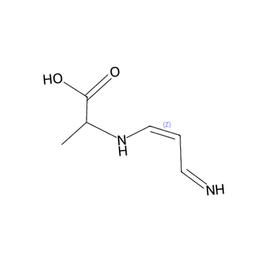 CC(N/C=C\C=N)C(=O)O